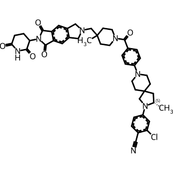 C[C@H]1CC2(CCN(c3ccc(C(=O)N4CCC(C)(CN5Cc6cc7c(cc6C5)C(=O)N(C5CCC(=O)NC5=O)C7=O)CC4)cc3)CC2)CN1c1ccc(C#N)c(Cl)c1